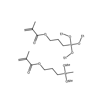 C=C(C)C(=O)OCCC[Si](C)(OC)OC.C=C(C)C(=O)OCCC[Si](OCC)(OCC)OCC